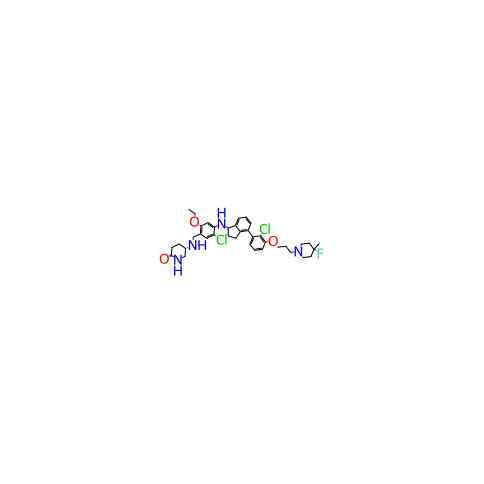 CCOc1cc(NC2CCc3c(-c4cccc(OCCCN5CCC(C)(F)CC5)c4Cl)cccc32)c(Cl)cc1CN[C@H]1CCC(=O)NC1